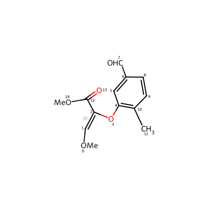 CO/C=C(\Oc1cc(C=O)ccc1C)C(=O)OC